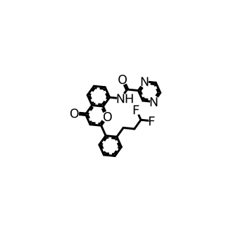 O=C(Nc1cccc2c(=O)cc(-c3ccccc3CCC(F)F)oc12)c1cnccn1